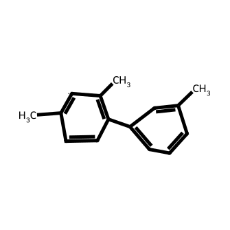 Cc1[c]c(C)c(-c2cccc(C)c2)cc1